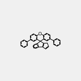 C1=CC2=C(C1)C1(c3cc(-c4ccccc4)ccc3Oc3ccc(-c4ccccc4)cc31)c1ccccc12